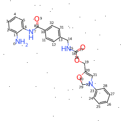 Nc1ccccc1NC(=O)c1ccc(CNC(=O)OCC2=CN(c3ccccc3)CO2)cc1